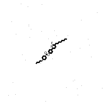 CCCCCCCCc1ccc(-c2ccc(OC(=O)[C@H]3CC[C@H](CCCCC)CC3)cc2)nc1F